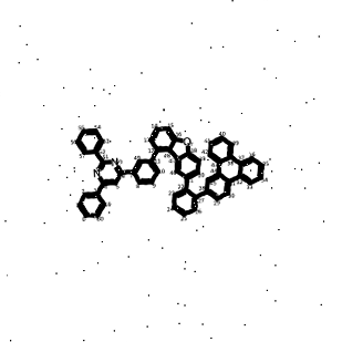 c1ccc(-c2cc(-c3cccc(-c4cccc5oc6ccc(-c7ccccc7-c7ccc8c9ccccc9c9ccccc9c8c7)cc6c45)c3)nc(-c3ccccc3)n2)cc1